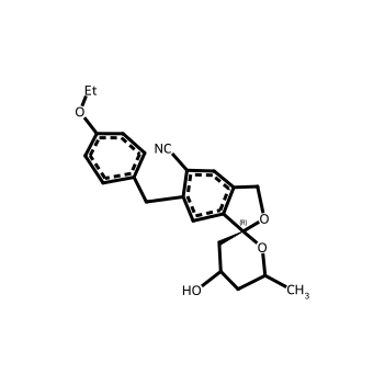 CCOc1ccc(Cc2cc3c(cc2C#N)CO[C@@]32CC(O)CC(C)O2)cc1